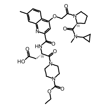 CCOC(=O)N1CCN(C(=O)[C@H](CC(=O)O)NC(=O)c2cc(OCC(=O)N3CCC[C@H]3C(=O)N(C)C3CC3)c3ccc(C)cc3n2)CC1